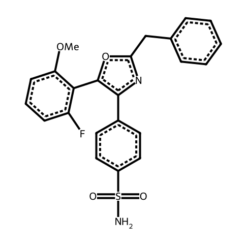 COc1cccc(F)c1-c1oc(Cc2ccccc2)nc1-c1ccc(S(N)(=O)=O)cc1